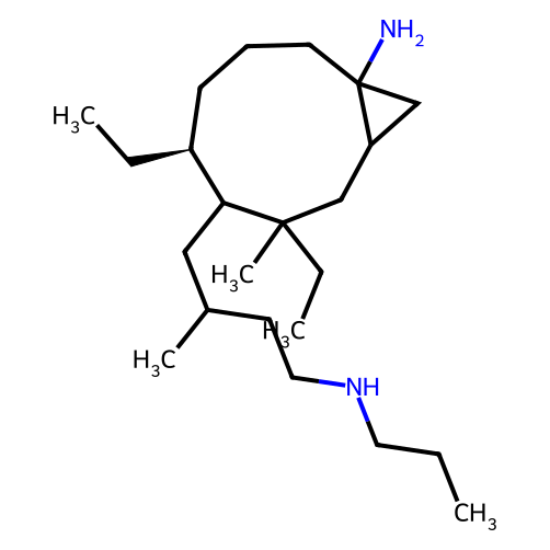 CCCNCCC(C)CC1[C@@H](CC)CCCC2(N)CC2CC1(C)CC